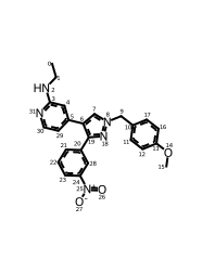 CCNc1cc(-c2cn(Cc3ccc(OC)cc3)nc2-c2cccc([N+](=O)[O-])c2)ccn1